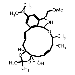 COCOc1cc(N(C)C)cc2c1[C@@H](O)O[C@@H](C)[C@H](C)/C=C\[C@H](O)[C@H]1OC(C)(C)O[C@H]1C/C=C/2